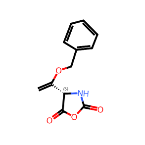 C=C(OCc1ccccc1)[C@@H]1NC(=O)OC1=O